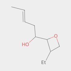 CC=CCC(O)C1OCC1CC